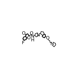 O=C(NC1CCN([C@H]2CCc3cc(OCCCN4CCCCC4)ccc32)CC1)c1cc(=O)c2ccc(F)cc2o1